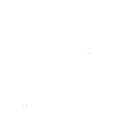 Cc1cc(C)cc(C(c2cc(C)cc(C)c2)(c2cc(C)cc(C)c2)C2C3C=CC=CC3C3CCC[CH]([Ti+3])C32)c1.[Cl-].[Cl-].[Cl-]